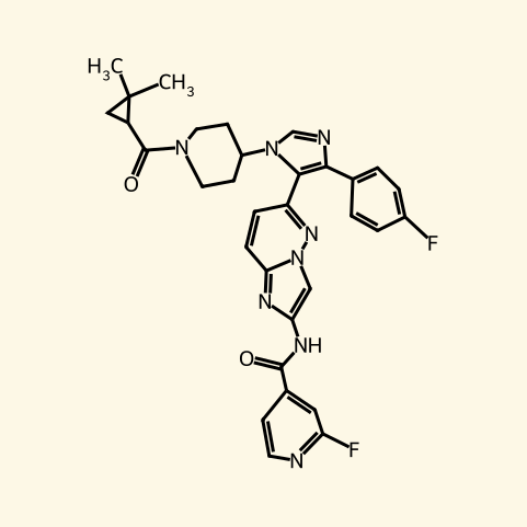 CC1(C)CC1C(=O)N1CCC(n2cnc(-c3ccc(F)cc3)c2-c2ccc3nc(NC(=O)c4ccnc(F)c4)cn3n2)CC1